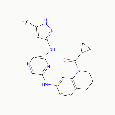 Cc1cc(Nc2cncc(Nc3ccc4c(c3)N(C(=O)C3CC3)CCC4)n2)n[nH]1